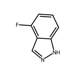 Fc1c[c]cc2[nH]ncc12